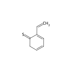 C=CC1=CC=CCC1=S